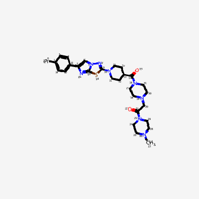 CC(C)c1ccc(-c2cn3nc(N4CCC(C(=O)N5CCN(CC(=O)N6CCN(C)CC6)CC5)CC4)sc3n2)cc1